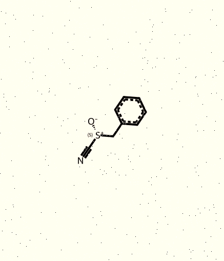 N#C[S@+]([O-])Cc1ccccc1